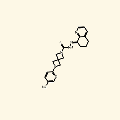 N#Cc1ccc(N2CC3(CN(C(=S)N/N=C4\CCCc5cccnc54)C3)C2)nc1